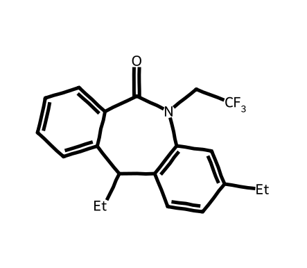 CCc1ccc2c(c1)N(CC(F)(F)F)C(=O)c1ccccc1C2CC